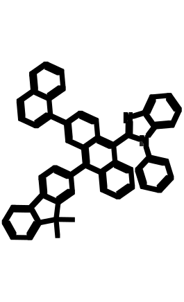 CC1(C)c2ccccc2-c2ccc(-c3c4ccccc4c(-c4nc5ccccc5n4-c4ccccc4)c4ccc(-c5cccc6ccccc56)cc34)cc21